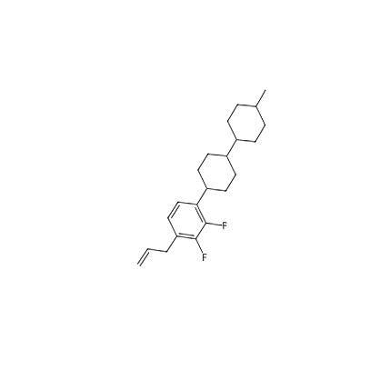 C=CCc1ccc(C2CCC(C3CCC(C)CC3)CC2)c(F)c1F